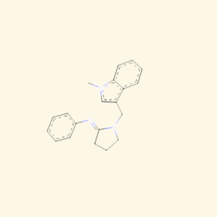 Cn1cc(CN2CCCC2=Nc2ccccc2)c2ccccc21